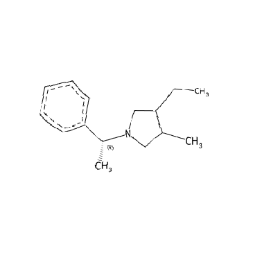 CCC1CN([C@H](C)c2ccccc2)CC1C